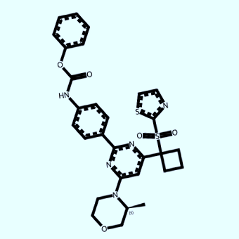 C[C@H]1COCCN1c1cc(C2(S(=O)(=O)c3nccs3)CCC2)nc(-c2ccc(NC(=O)Oc3ccccc3)cc2)n1